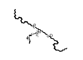 CCCCC/C=C\C/C=C\C/C=C\C/C=C\CCCC(=O)OCCCCCC(CCCCCOC(=O)CCC/C=C\C/C=C\C/C=C\C/C=C\CCCCC)OC(=O)NCCOCCN(C)CC